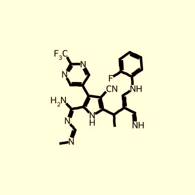 C/N=C\N=C(\N)c1[nH]c(C(C)/C(C=N)=C/Nc2ccccc2F)c(C#N)c1-c1cnc(C(F)(F)F)nc1